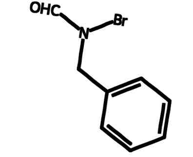 O=CN(Br)Cc1ccccc1